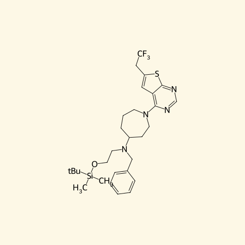 CC(C)(C)[Si](C)(C)OCCN(Cc1ccccc1)C1CCCN(c2ncnc3sc(CC(F)(F)F)cc23)CC1